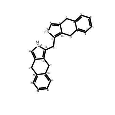 c1ccc2c(c1)Cc1c[nH]c(Cc3[nH]cc4c3Cc3ccccc3C4)c1C2